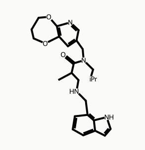 CC(C)CN(Cc1cnc2c(c1)OCCCO2)C(=O)C(C)CNCc1cccc2cc[nH]c12